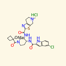 COC1(C(=O)N2CCC(NC(=O)c3cc4cc(Cl)ccc4[nH]3)C(NC(=O)c3nc4c(s3)CN(C)CC4)C2)CCC1.Cl